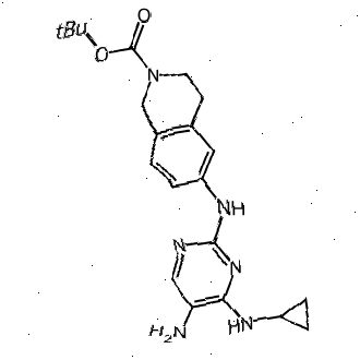 CC(C)(C)OC(=O)N1CCc2cc(Nc3ncc(N)c(NC4CC4)n3)ccc2C1